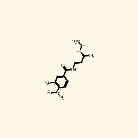 CC(CCNC(=O)c1ccc(B(O)O)c([N+](=O)[O-])c1)OCP